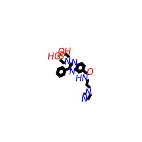 O=C(NCCCn1ccnc1)c1ccc2nc(N3CCS(O)(O)CC3)c(-c3ccccc3)nc2c1